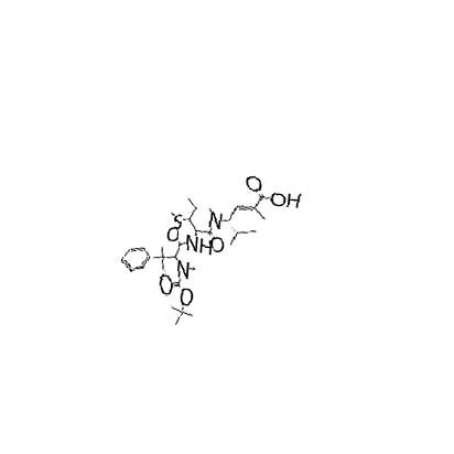 CCC(SC)[C@H](NC(=O)[C@@H](N(C)C(=O)OC(C)(C)C)C(C)(C)c1ccccc1)C(=O)N(C)[C@H](/C=C(\C)C(=O)O)C(C)C